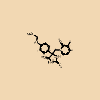 COCOc1ccc(C2(Cn3cccc(C)c3=O)NC(=O)NC2=O)cc1